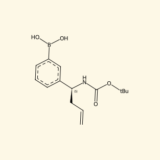 C=CC[C@H](NC(=O)OC(C)(C)C)c1cccc(B(O)O)c1